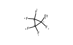 [CH2]CC1(F)C(F)(F)C1(F)F